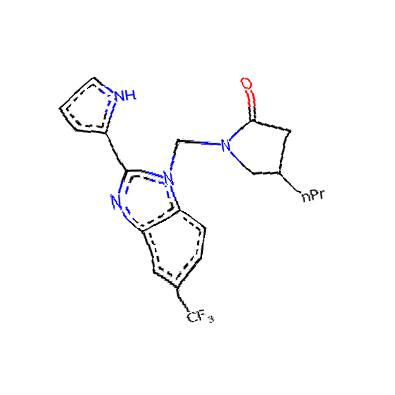 CCCC1CC(=O)N(Cn2c(-c3ccc[nH]3)nc3cc(C(F)(F)F)ccc32)C1